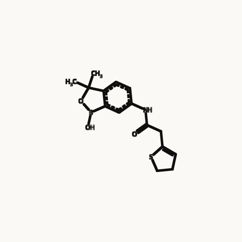 CC1(C)OB(O)c2cc(NC(=O)CC3=CCCS3)ccc21